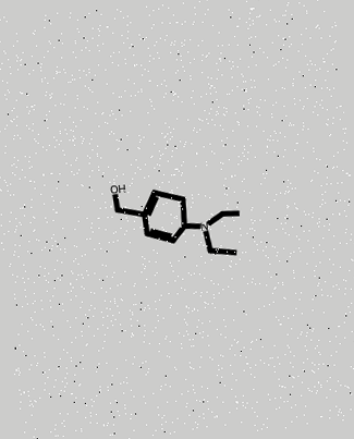 CCN(CC)C1C=CC(CO)=CC1